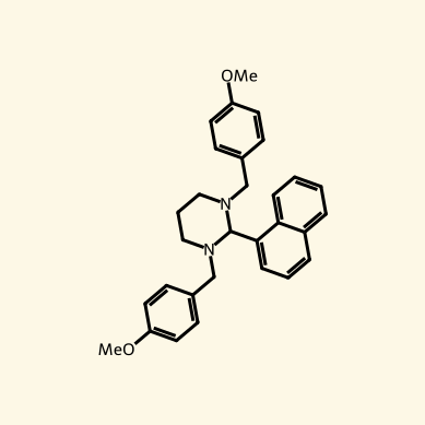 COc1ccc(CN2CCCN(Cc3ccc(OC)cc3)C2c2cccc3ccccc23)cc1